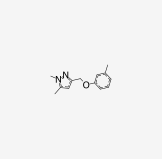 Cc1cccc(OCc2cc(C)n(C)n2)c1